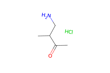 CC(=O)C(C)CN.Cl